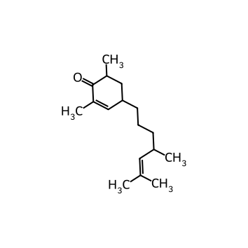 CC(C)=CC(C)CCCC1C=C(C)C(=O)C(C)C1